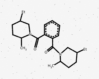 CCC1CCC(C)N(C(=O)c2ccccc2C(=O)N2CC(CC)CCC2C)C1